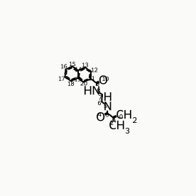 C=C(C)C(=O)NCCNC(=O)c1ccc2ccccc2c1